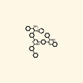 N/C(=C(/c1cccc(C2=NC(c3cccc(-c4ccccc4)c3)NC(c3ccc(C4=Nc5ccccc5NC4c4ccccc4)cc3)=C2)c1)N1C2C=CC=CC21)c1ccccc1